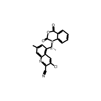 Cc1cc([C@@H](C)n2c(=O)oc(=O)c3ccccc32)c2cc(Cl)c(C#N)nc2c1